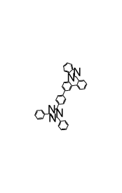 c1ccc(-c2nc(-c3ccccc3)nc(-c3ccc(-c4ccc5c(c4)c4ccccc4c4nc6ccccc6n54)cc3)n2)cc1